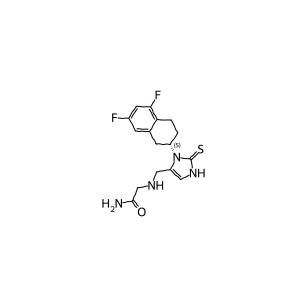 NC(=O)CNCc1c[nH]c(=S)n1[C@H]1CCc2c(F)cc(F)cc2C1